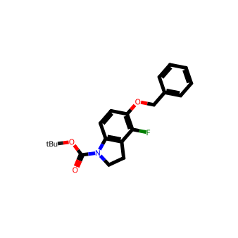 CC(C)(C)OC(=O)N1CCc2c1ccc(OCc1ccccc1)c2F